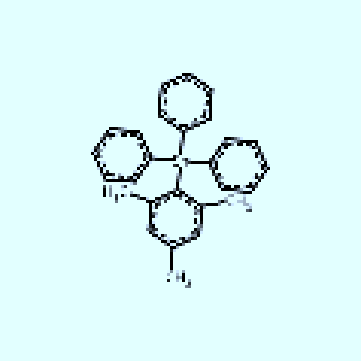 Cc1cc(C)[c]([Sn]([c]2ccccc2)([c]2ccccc2)[c]2ccccc2)c(C)c1